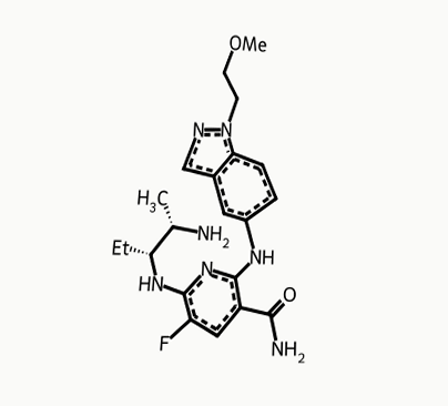 CC[C@@H](Nc1nc(Nc2ccc3c(cnn3CCOC)c2)c(C(N)=O)cc1F)[C@H](C)N